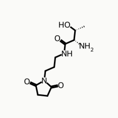 C[C@@H](O)[C@H](N)C(=O)NCCCN1C(=O)CCC1=O